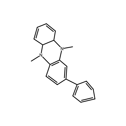 CN1c2ccc(-c3ccccc3)cc2N(C)C2C=CC=CC21